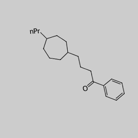 CCCC1CCCC(CCCC(=O)c2ccccc2)CC1